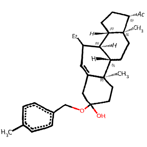 CCC1C=C2CC(O)(OCc3ccc(C)cc3)CC[C@]2(C)[C@H]2CC[C@]3(C)[C@@H](C(C)=O)CC[C@H]3[C@H]12